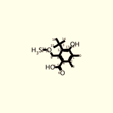 Cc1c(C)c(C(=O)O)c(CO[SiH3])c(C(C)(C)C)c1O